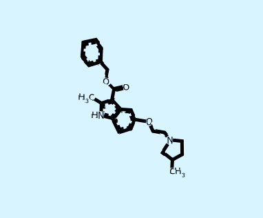 Cc1[nH]c2ccc(OCCN3CCC(C)C3)cc2c1C(=O)OCc1ccccc1